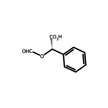 O=CO[C@H](C(=O)O)c1ccccc1